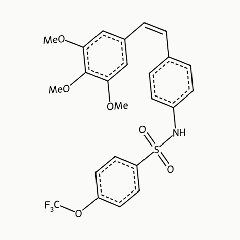 COc1cc(/C=C\c2ccc(NS(=O)(=O)c3ccc(OC(F)(F)F)cc3)cc2)cc(OC)c1OC